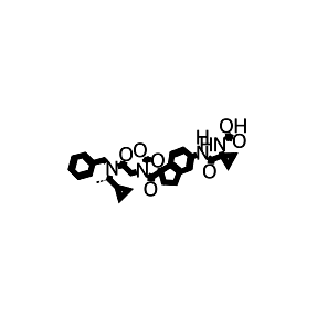 C[C@@H](C1CC1)N(Cc1ccccc1)C(=O)CN1C(=O)OC2(CCc3cc(NC(=O)C4(NC(=O)O)CC4)ccc32)C1=O